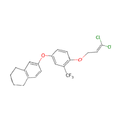 FC(F)(F)c1cc(Oc2ccc3c(c2)CCCC3)ccc1OCC=C(Cl)Cl